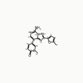 Cc1ccc(-c2nc3c(-c4ccc(=O)n(C)c4)cnc(N)n3n2)o1